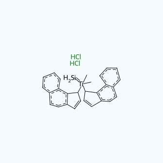 Cl.Cl.[CH3][Ti]([CH3])(=[SiH2])([CH]1C=Cc2ccc3ccccc3c21)[CH]1C=Cc2ccc3ccccc3c21